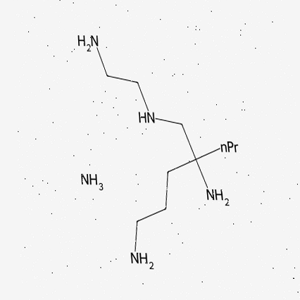 CCCC(N)(CCCN)CNCCN.N